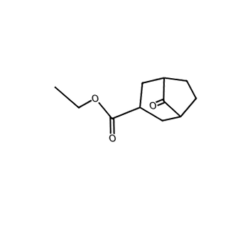 CCOC(=O)C1CC2CCC(C1)C2=O